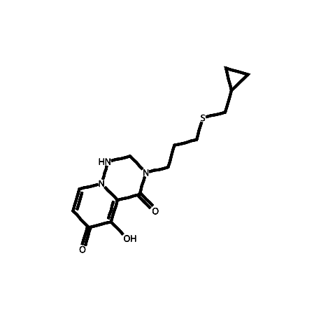 O=C1c2c(O)c(=O)ccn2NCN1CCCSCC1CC1